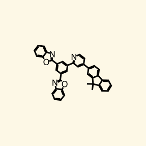 CC1(C)c2ccccc2-c2ccc(-c3ccnc(-c4cc(-c5nc6ccccc6o5)cc(-c5nc6ccccc6o5)c4)c3)cc21